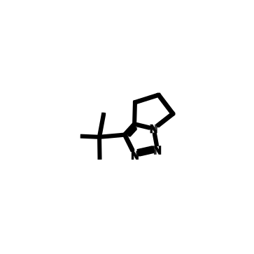 CC(C)(C)c1nnn2c1CCC2